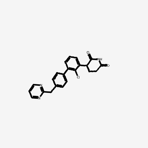 O=C1CCC(c2cccc(-c3ccc(Cc4ncccn4)cc3)c2Cl)C(=O)N1